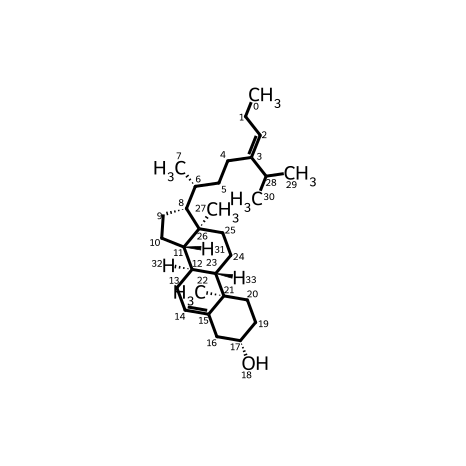 CC/C=C(\CC[C@@H](C)[C@H]1CC[C@H]2[C@@H]3CC=C4C[C@@H](O)CC[C@]4(C)[C@H]3CC[C@]12C)C(C)C